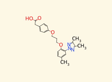 Cc1ccc(OCCCOc2ccc(CC(=O)O)cc2)c(-n2nc(C)c(C)n2)c1